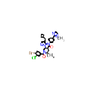 C[C@H]1Cc2c(n3ncc(CC4CCC4)c3n(-c3ccc(-c4nccn4C)cc3)c2=O)CN1C(=O)c1ccc(Br)c(Cl)c1